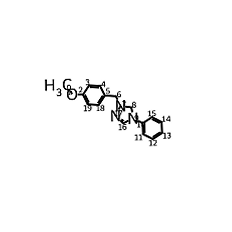 COc1ccc(CN2CN(c3ccccc3)C=N2)cc1